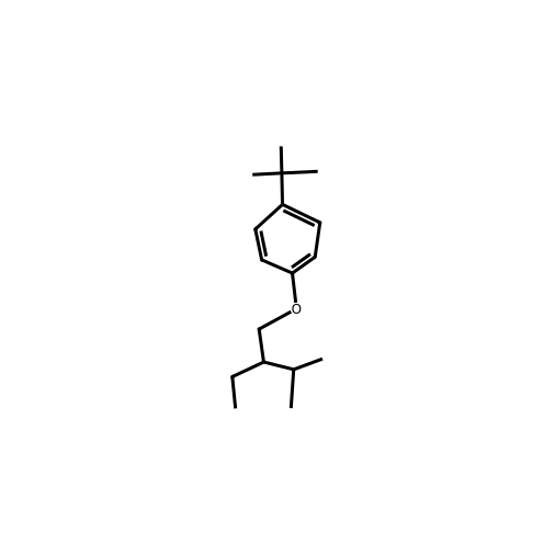 CCC(COc1ccc(C(C)(C)C)cc1)C(C)C